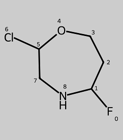 FC1CCOC(Cl)CN1